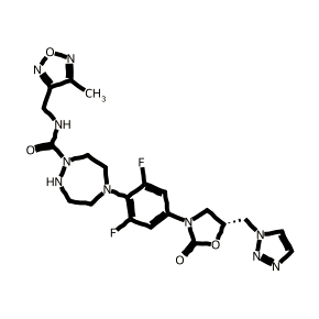 Cc1nonc1CNC(=O)N1CCN(c2c(F)cc(N3C[C@H](Cn4ccnn4)OC3=O)cc2F)CCN1